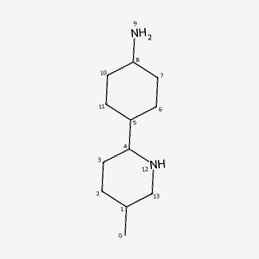 CC1CCC(C2CCC(N)CC2)NC1